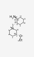 CCO[C@@H]1CCCN(C[C@H]2CCCC[C@@H]2N)C1